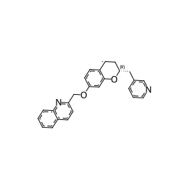 [CH]1C[C@H](Cc2cccnc2)Oc2cc(OCc3ccc4ccccc4n3)ccc21